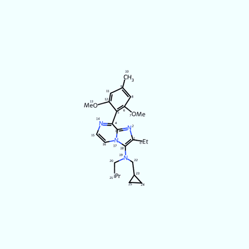 CCc1nc2c(-c3c(OC)cc(C)cc3OC)nccn2c1N(CC(C)C)CC1CC1